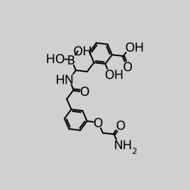 NC(=O)COc1cccc(CC(=O)NC(Cc2cccc(C(=O)O)c2O)B(O)O)c1